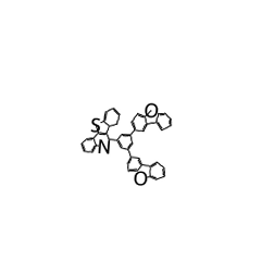 C1=CCC2C(=C1)Sc1c2c(-c2cc(-c3ccc4oc5ccccc5c4c3)cc(-c3ccc4oc5ccccc5c4c3)c2)nc2ccccc12